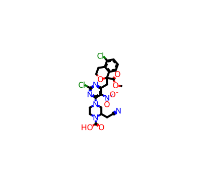 COC(=O)C1(Cc2nc(Cl)nc(N3CCN(C(=O)O)C(CC#N)C3)c2[N+](=O)[O-])OCCc2c(Cl)cccc21